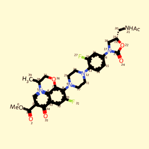 COC(=O)c1cn2c3c(c(N4CCN(c5ccc(N6C[C@H](CNC(C)=O)OC6=O)cc5F)CC4)c(F)cc3c1=O)OCC2C